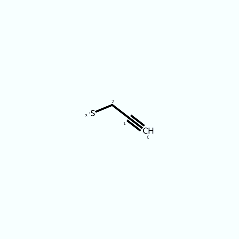 C#CC[S]